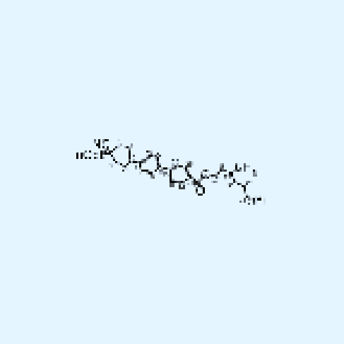 CCCCCCCCC1(C#N)CCC(c2ccc(-c3ccc(C(=O)OCCC(C)CCCC(C)C)cc3)cc2)CC1